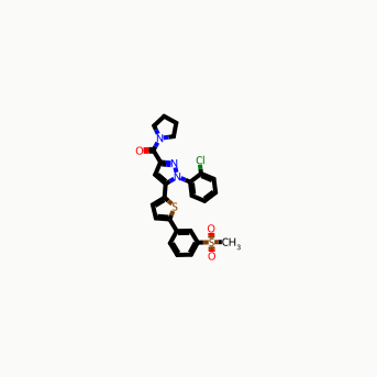 CS(=O)(=O)c1cccc(-c2ccc(-c3cc(C(=O)N4CCCC4)nn3-c3ccccc3Cl)s2)c1